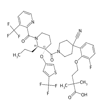 CCC[C@H]1N(C(=O)c2ncccc2C(F)(F)F)CCC[C@@]1(Oc1csc(C(F)(F)F)c1)C(=O)N1CCC(C#N)(c2cccc(F)c2OCCC(C)(C)C(=O)O)CC1